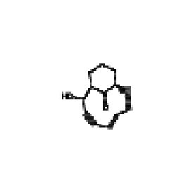 O=C1C2CCCC1(O)C#C/C=C/C#CC2O